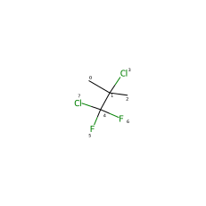 CC(C)(Cl)C(F)(F)Cl